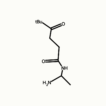 CC(N)NC(=O)CCC(=O)C(C)(C)C